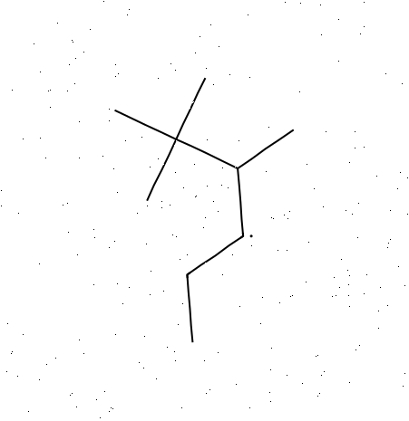 CC[CH]C(C)C(C)(C)C